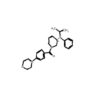 CC(C)N(c1ccccc1)[C@H]1CCCN(C(=O)c2ccc(N3CCOCC3)cc2)C1